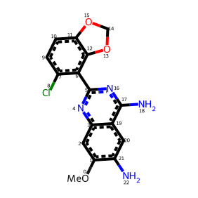 COc1cc2nc(-c3c(Cl)ccc4c3OCO4)nc(N)c2cc1N